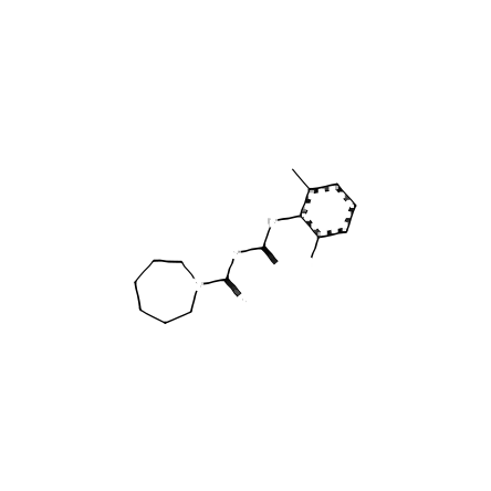 Cc1cccc(Br)c1NC(=O)NC(=N)N1CCCCCC1